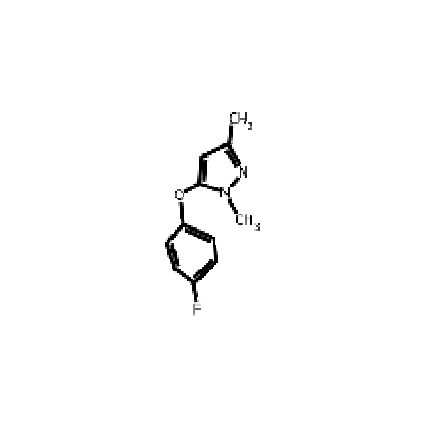 Cc1cc(Oc2ccc(F)cc2)n(C)n1